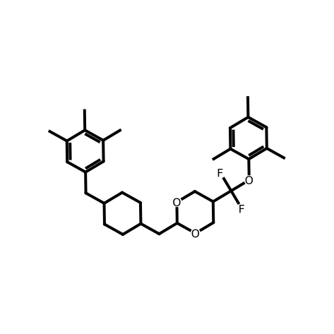 Cc1cc(C)c(OC(F)(F)C2COC(CC3CCC(Cc4cc(C)c(C)c(C)c4)CC3)OC2)c(C)c1